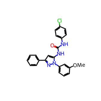 COc1cccc(-n2nc(-c3ccccc3)cc2NC(=O)Nc2ccc(Cl)cc2)c1